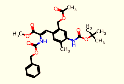 COC(=O)/C(=C/c1cc(C)c(NC(=O)OC(C)(C)C)cc1COC(C)=O)NC(=O)OCc1ccccc1